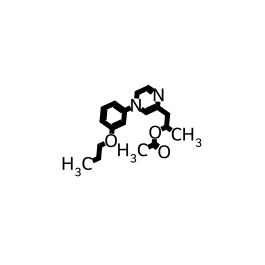 CCCOc1cccc(N2C=C(CC(C)OC(C)=O)N=CC2)c1